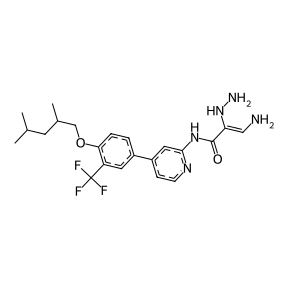 CC(C)CC(C)COc1ccc(-c2ccnc(NC(=O)/C(=C/N)NN)c2)cc1C(F)(F)F